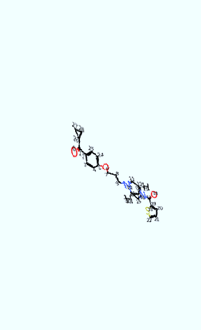 O=C(c1ccc(OCCCN2C[C@@H]3C[C@H]2CN3C(=O)c2cccs2)cc1)C1CC1